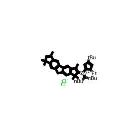 CCCC[C](CCCC)=[Zr+2]([C]1=CC(C(C)(C)C)=CC1CC)[C]1=C(C)c2cc3c(cc2C1(C)C)Cc1cc2c(cc1-3)C(C)=CC2(C)C.[Cl-].[Cl-]